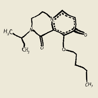 CCCCOc1c2n(ccc1=O)CCN(C(C)C)C2=O